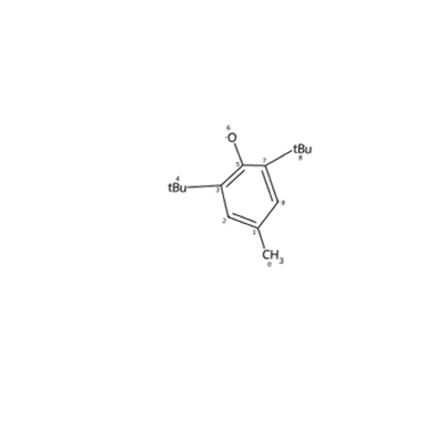 Cc1cc(C(C)(C)C)c([O])c(C(C)(C)C)c1